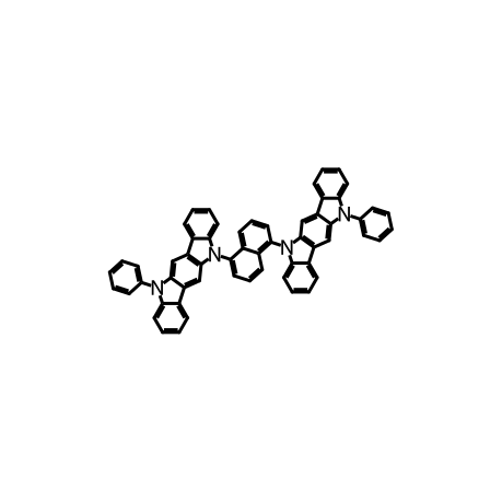 c1ccc(-n2c3ccccc3c3cc4c(cc32)c2ccccc2n4-c2cccc3c(-n4c5ccccc5c5cc6c(cc54)c4ccccc4n6-c4ccccc4)cccc23)cc1